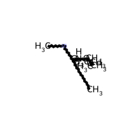 CCCCCCCC/C=C\CCCCCCCC(CCCCCCCCCCCCCCCCCC)OC(=O)NCCCOC(C)(C)COC(C)(C)C